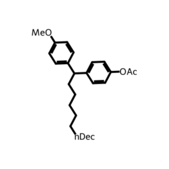 CCCCCCCCCCCCCCCC(c1ccc(OC)cc1)c1ccc(OC(C)=O)cc1